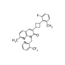 Cc1ccc2cc(C3CC(c4c(C)cccc4F)C3)c(=O)n(Cc3ncccc3C(F)(F)F)c2n1